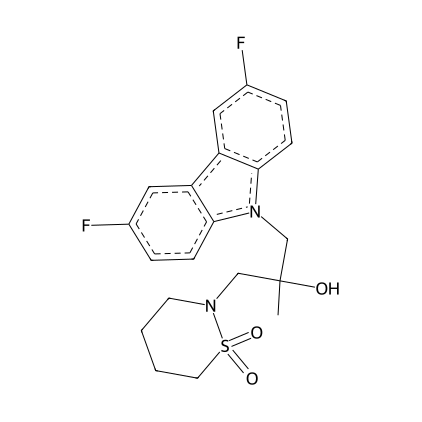 CC(O)(CN1CCCCS1(=O)=O)Cn1c2ccc(F)cc2c2cc(F)ccc21